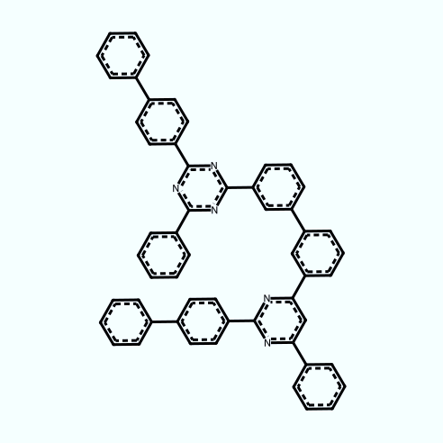 c1ccc(-c2ccc(-c3nc(-c4ccccc4)cc(-c4cccc(-c5cccc(-c6nc(-c7ccccc7)nc(-c7ccc(-c8ccccc8)cc7)n6)c5)c4)n3)cc2)cc1